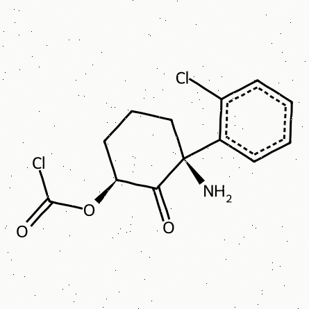 N[C@]1(c2ccccc2Cl)CCC[C@H](OC(=O)Cl)C1=O